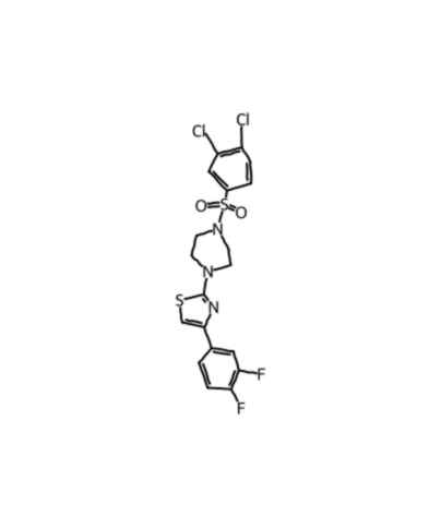 O=S(=O)(c1ccc(Cl)c(Cl)c1)N1CCN(c2nc(-c3ccc(F)c(F)c3)cs2)CC1